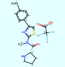 CC(=O)Nc1ccc(-c2csc(N(C)C(=O)[C@@H]3CCCN3)n2)cc1.O=C(O)C(F)(F)F